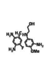 COc1ccc(NCCO)cc1N.Cc1cc(F)c(N)cc1N